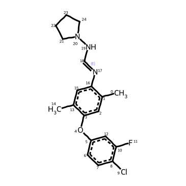 Cc1cc(Oc2ccc(Cl)c(F)c2)c(C)cc1/N=C/NN1CCCC1